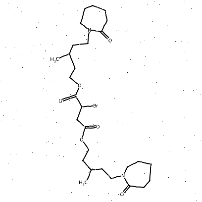 CC(CCOC(=O)CC(Br)C(=O)OCCC(C)CCN1CCCCCC1=O)CCN1CCCCCC1=O